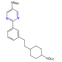 CCCCCCCCCc1cnc(-c2cccc(CCC3CCC(CCCCCCCC)CC3)c2)nc1